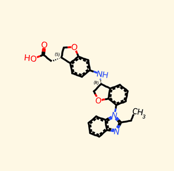 CCc1nc2ccccc2n1-c1cccc2c1OC[C@@H]2Nc1ccc2c(c1)OC[C@H]2CC(=O)O